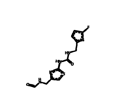 O=CNCc1csc(NC(=O)NCc2ccc(F)s2)n1